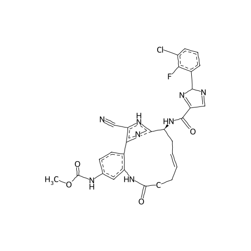 COC(=O)Nc1ccc2c(c1)NC(=O)CC/C=C/C[C@H](NC(=O)C1=NC(c3cccc(Cl)c3F)N=C1)c1nc-2c(C#N)[nH]1